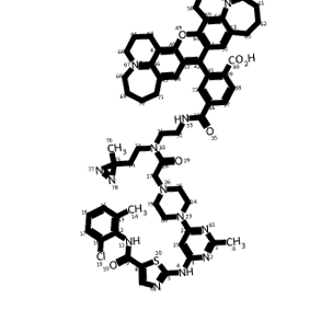 Cc1nc(Nc2ncc(C(=O)Nc3c(C)cccc3Cl)s2)cc(N2CCN(CC(=O)N(CCNC(=O)c3ccc(C(=O)O)c(C4=c5cc6c7c(c5Oc5c4cc4c8c5CCCN8CCCC4)CCC[N+]=7CCCC6)c3)CCC3(C)N=N3)CC2)n1